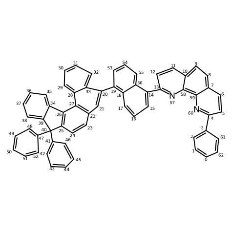 c1ccc(-c2ccc3ccc4ccc(-c5cccc6c(-c7cc8ccc9c(c8c8ccccc78)-c7ccccc7C9(c7ccccc7)c7ccccc7)cccc56)nc4c3n2)cc1